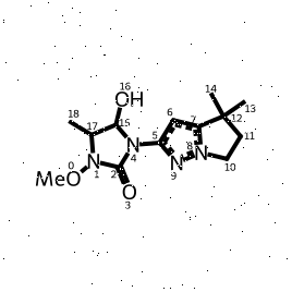 CON1C(=O)N(c2cc3n(n2)CCC3(C)C)C(O)C1C